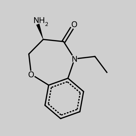 CCN1C(=O)[C@H](N)COc2ccccc21